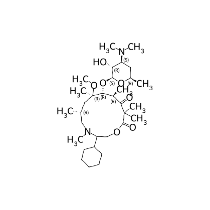 CO[C@]1(C)C[C@@H](C)CN(C)C(C2CCCCC2)COC(=O)C(C)(C)C(=O)[C@H](C)[C@H]1O[C@@H]1O[C@H](C)C[C@H](N(C)C)[C@H]1O